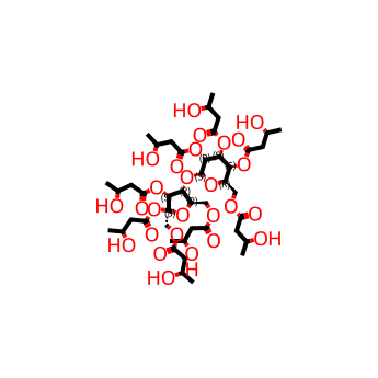 CC(O)CC(=O)OC[C@H]1O[C@@H](O[C@@H]2[C@@H](COC(=O)CC(C)O)O[C@@](COC(=O)CC(C)O)(OC(=O)CC(C)O)[C@H]2OC(=O)CC(C)O)[C@H](OC(=O)CC(C)O)[C@@H](OC(=O)CC(C)O)[C@H]1OC(=O)CC(C)O